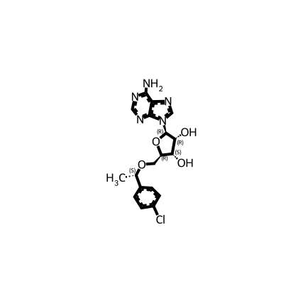 C[C@H](OC[C@H]1O[C@@H](n2cnc3c(N)ncnc32)[C@H](O)[C@@H]1O)c1ccc(Cl)cc1